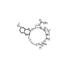 COc1ccc2nc3c(nc2c1)OC1C[C@@H](C(=O)O)N(C1)C(=O)[C@H](C(C)(C)C)NC(=O)O[C@@H]1C[C@H]1CCCCC3